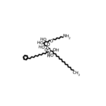 CCCCCCCCCCCCCC[C@@H](O)[C@@H](O)[C@H](COC1OC(COCCCCCCN)C(O)C(O)C1O)NC(=O)CCCCCCCCCc1ccccc1